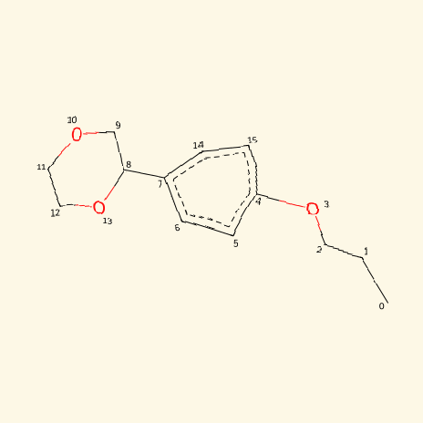 CCCOc1ccc(C2COCCO2)cc1